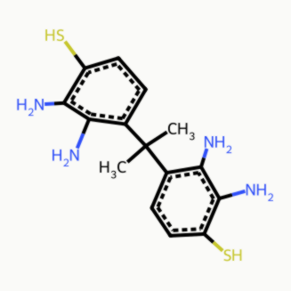 CC(C)(c1ccc(S)c(N)c1N)c1ccc(S)c(N)c1N